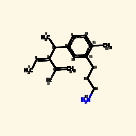 C=C(CC)/C(=C\C)C(C)c1ccc(C)c(CCCN)c1